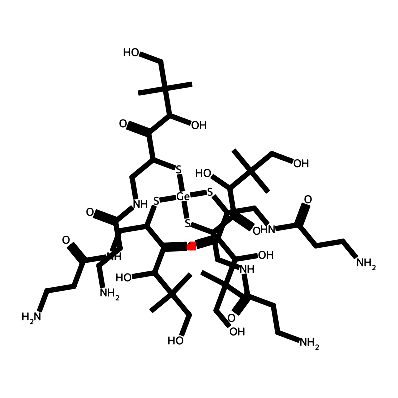 CC(C)(CO)C(O)C(=O)C(CNC(=O)CCN)[S][Ge]([S]C(CNC(=O)CCN)C(=O)C(O)C(C)(C)CO)([S]C(CNC(=O)CCN)C(=O)C(O)C(C)(C)CO)[S]C(CNC(=O)CCN)C(=O)C(O)C(C)(C)CO